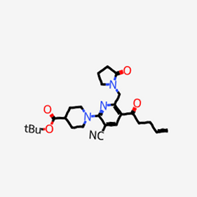 C=CCCC(=O)c1cc(C#N)c(N2CCC(C(=O)OC(C)(C)C)CC2)nc1CN1CCCC1=O